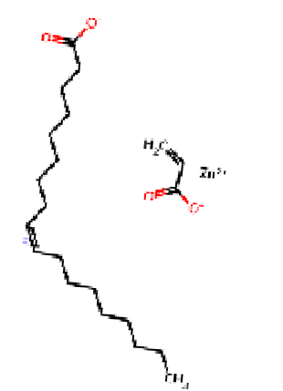 C=CC(=O)[O-].CCCCCCCC/C=C\CCCCCCCC(=O)[O-].[Zn+2]